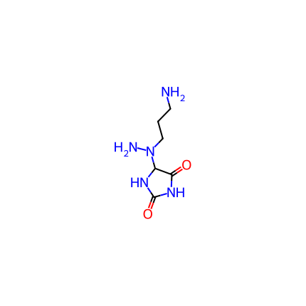 NCCCN(N)C1NC(=O)NC1=O